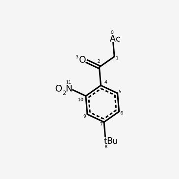 CC(=O)CC(=O)c1ccc(C(C)(C)C)cc1[N+](=O)[O-]